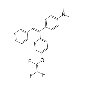 CN(C)c1ccc(C(=Cc2ccccc2)c2ccc(OC(F)=C(F)F)cc2)cc1